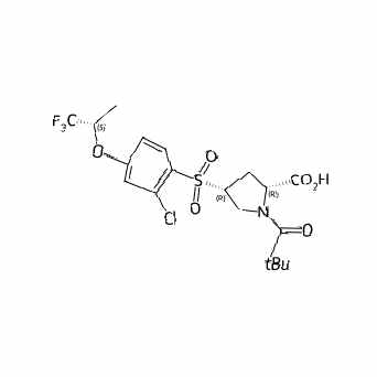 C[C@H](Oc1ccc(S(=O)(=O)[C@@H]2C[C@H](C(=O)O)N(C(=O)C(C)(C)C)C2)c(Cl)c1)C(F)(F)F